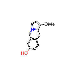 COc1ccn2cc3cc(O)ccc3cc12